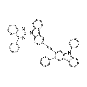 C(#Cc1cc2c(cc1-c1ccccc1)c1ccccc1n2-c1ccccc1)c1ccc2c(c1)c1ccccc1n2-c1nc(-c2ccccc2)c2ccccc2n1